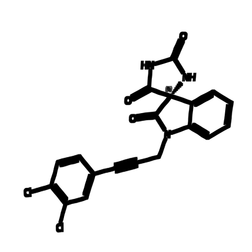 O=C1NC(=O)[C@]2(N1)C(=O)N(CC#Cc1ccc(Cl)c(Cl)c1)c1ccccc12